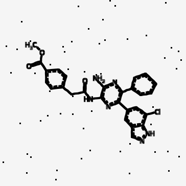 COC(=O)c1ccc(CC(=O)Nc2nc(-c3cc(Cl)c4[nH]ncc4c3)c(-c3ccccc3)nc2N)cc1